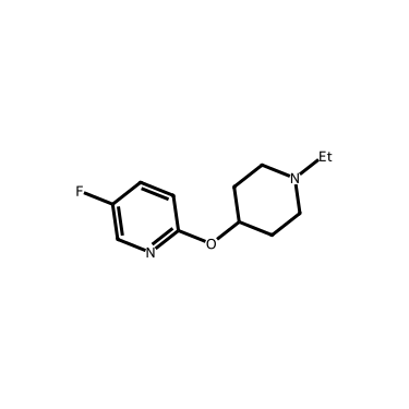 CCN1CCC(Oc2ccc(F)cn2)CC1